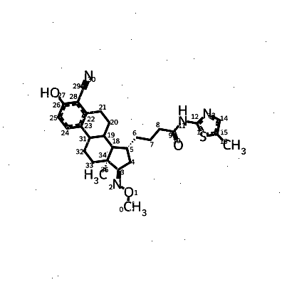 CO/N=C1\C[C@@H](CCCC(=O)Nc2ncc(C)s2)C2C3CCc4c(ccc(O)c4C#N)C3CC[C@]12C